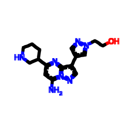 Nc1cc(C2CCCNC2)nc2c(-c3cnn(CCO)c3)cnn12